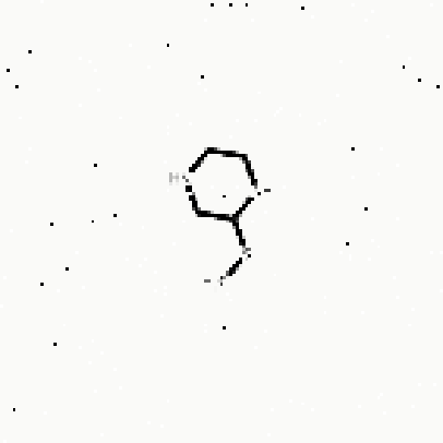 CSC1CNCCN1